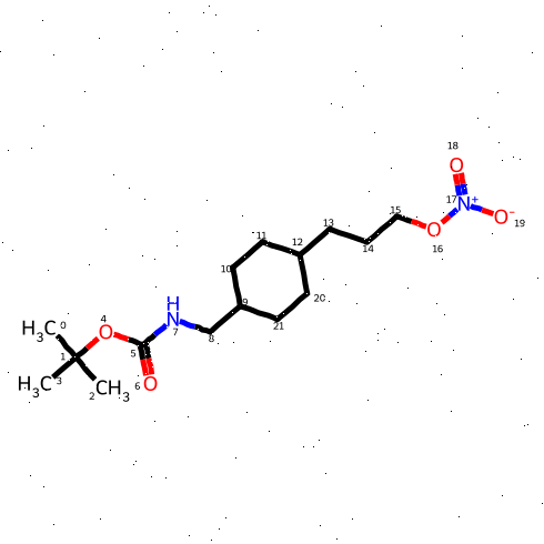 CC(C)(C)OC(=O)NCC1CCC(CCCO[N+](=O)[O-])CC1